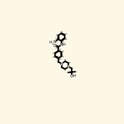 CC(C)(O)CN1CCN(Cc2ccc(C(=O)Nc3ccccc3N)cc2)CC1